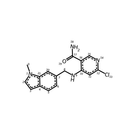 Cn1ccc2ccc(CNc3cc(Cl)ncc3C(N)=O)cc21